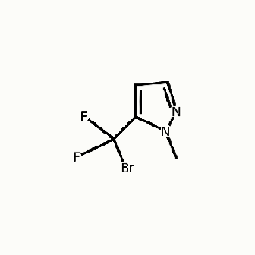 Cn1nccc1C(F)(F)Br